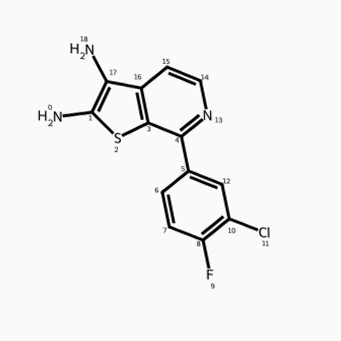 Nc1sc2c(-c3ccc(F)c(Cl)c3)nccc2c1N